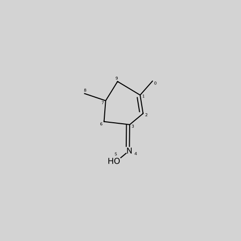 CC1=CC(=NO)CC(C)C1